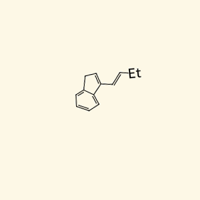 CCC=CC1=CCc2ccccc21